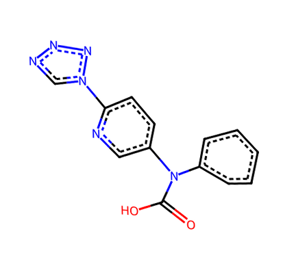 O=C(O)N(c1ccccc1)c1ccc(-n2cnnn2)nc1